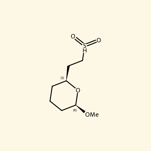 CO[C@H]1CCC[C@@H](CC[SH](=O)=O)O1